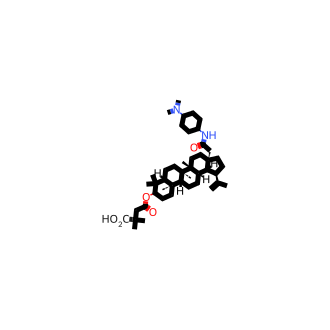 C=C(C)[C@@H]1CC[C@]2(CC(=O)N[C@H]3CC[C@@H](N(C)C)CC3)CC[C@]3(C)[C@H](CC[C@@H]4[C@@]5(C)CC[C@H](OC(=O)CC(C)(C)C(=O)O)C(C)(C)[C@@H]5CC[C@]43C)[C@@H]12